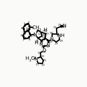 Cc1cccc2cccc(N3C[C@H]4Cc5c(nc(OCC6CCCN6C)nc5N5CCNC(CC#N)C5)[C@@H]3C4)c12